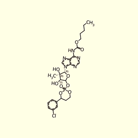 CCCCCOC(=O)Nc1ncnc2c1ncn2[C@@H]1OC(O[P@@]2(=O)OCCC(c3cccc(Cl)c3)O2)[C@@H](O)[C@@]1(C)O